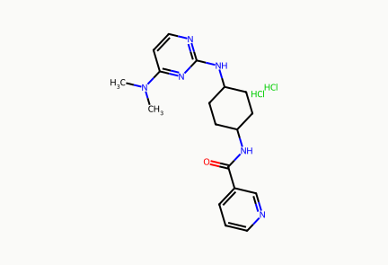 CN(C)c1ccnc(NC2CCC(NC(=O)c3cccnc3)CC2)n1.Cl.Cl